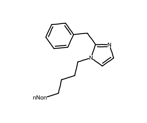 CCCCCCCCCCCCCn1ccnc1Cc1ccccc1